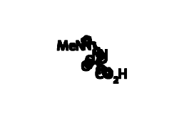 CNc1cccc(CCCc2noc(C(C3=COCO3)C(CC(=O)O)Cc3ccccc3)n2)n1